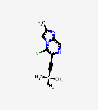 Cc1cn2c(Cl)c(C#C[Si](C)(C)C)ncc2n1